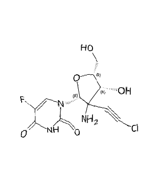 NC1(C#CCl)[C@@H](O)[C@@H](CO)O[C@H]1n1cc(F)c(=O)[nH]c1=O